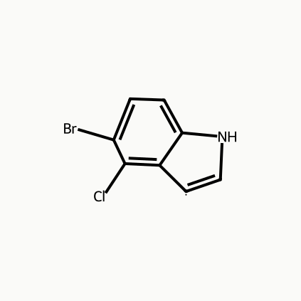 Clc1c(Br)ccc2[nH]c[c]c12